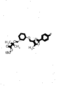 Cc1oc(-c2ccc(F)cc2)nc1CO[C@H]1CCC[C@@H](COC(C)(C)C(=O)OC(C)(C)C)C1